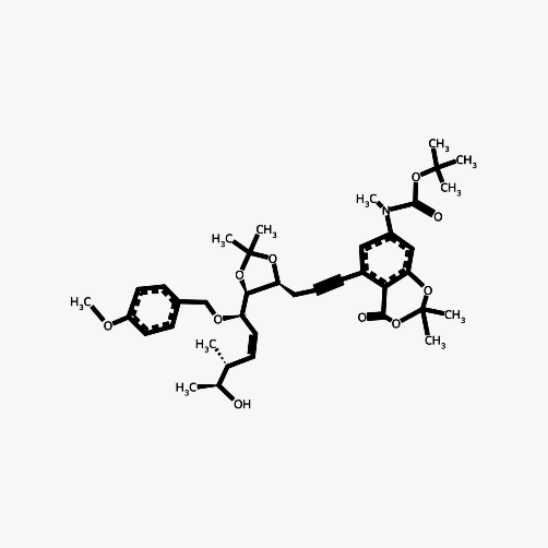 COc1ccc(CO[C@H](/C=C\[C@@H](C)[C@H](C)O)[C@H]2OC(C)(C)O[C@H]2CC#Cc2cc(N(C)C(=O)OC(C)(C)C)cc3c2C(=O)OC(C)(C)O3)cc1